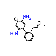 C=CCc1ccccc1-c1cc(N)ccc1N.[C]